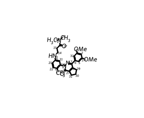 COc1cc(OC)cc(-c2nn(-c3cc(NCCC(=O)N(C)C)ccc3C(F)(F)F)c(=O)c3c2CCC3)c1